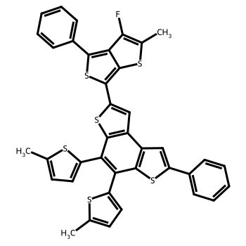 Cc1ccc(-c2c(-c3ccc(C)s3)c3sc(-c4sc(-c5ccccc5)c5c(F)c(C)sc45)cc3c3cc(-c4ccccc4)sc23)s1